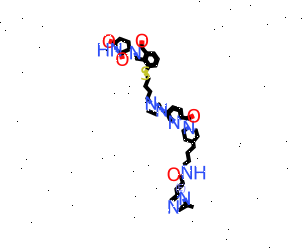 Cc1cncc(/C=C/C(=O)NCCCCC2CCN(C(=O)c3ccc(N4CCN(CCCCSc5cccc6c5CN(C5CCC(=O)NC5=O)C6=O)C4)cn3)CC2)n1